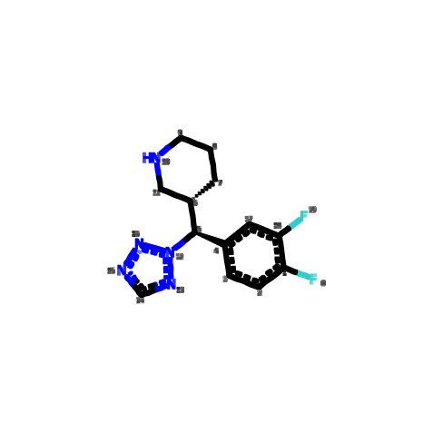 Fc1ccc([C@H]([C@H]2CCCNC2)n2ncnn2)cc1F